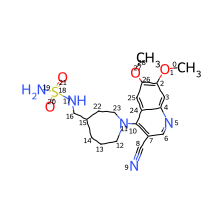 COc1cc2ncc(C#N)c(N3CCCC(CNS(N)(=O)=O)CC3)c2cc1OC